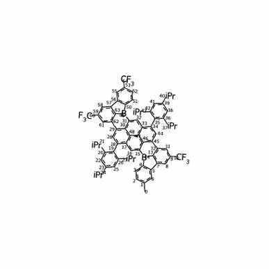 Cc1ccc2c(c1)-c1cc(C(F)(F)F)cc3c1B2c1cc2c(-c4c(C(C)C)cc(C(C)C)cc4C(C)C)cc4c5c(cc6c(-c7c(C(C)C)cc(C(C)C)cc7C(C)C)cc-3c1c6c25)B1c2ccc(C(F)(F)F)cc2-c2cc(C(F)(F)F)cc-4c21